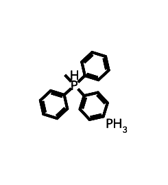 C[PH](c1ccccc1)(c1ccccc1)c1ccccc1.P